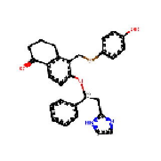 O=C1CCCc2c1ccc(O[C@@H](Cc1ncc[nH]1)c1ccccc1)c2CSc1ccc(O)cc1